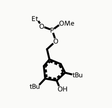 CCOP(OC)OCc1cc(C(C)(C)C)c(O)c(C(C)(C)C)c1